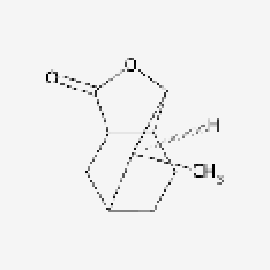 C[C@H]1C2CCC3C(C2)C(=O)OC31